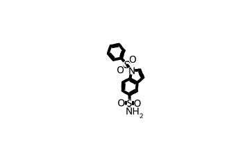 NS(=O)(=O)c1ccc2c(ccn2S(=O)(=O)c2ccccc2)c1